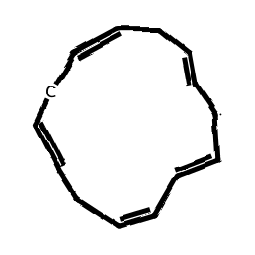 [CH]1/C=C/C=C\C/C=C\C/C=C\C/C=C/1